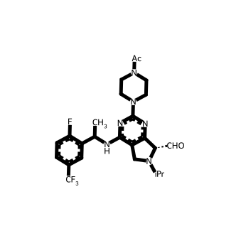 CC(=O)N1CCN(c2nc(NC(C)c3cc(C(F)(F)F)ccc3F)c3c(n2)[C@H](C=O)N(C(C)C)C3)CC1